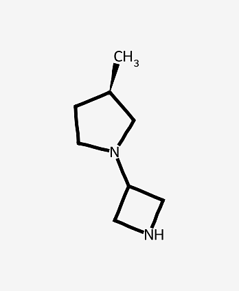 C[C@@H]1CCN(C2CNC2)C1